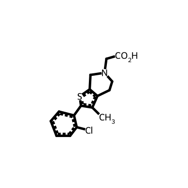 Cc1c(-c2ccccc2Cl)sc2c1CCN(CC(=O)O)C2